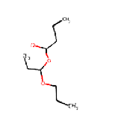 CCCOC(CC)OC([O])CCC